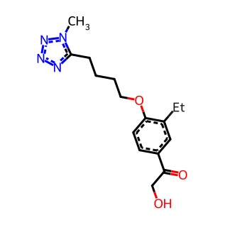 CCc1cc(C(=O)CO)ccc1OCCCCc1nnnn1C